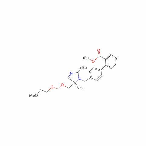 CCCCC1N=CC(COCOCCOC)(C(F)(F)F)N1Cc1ccc(-c2ccccc2C(=O)OC(C)(C)C)cc1